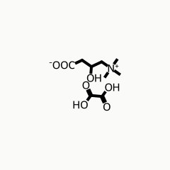 C[N+](C)(C)CC(O)CC(=O)[O-].O=C(O)C(=O)O